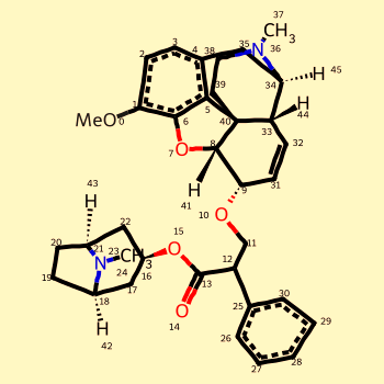 COc1ccc2c3c1O[C@H]1[C@@H](OCC(C(=O)O[C@H]4C[C@H]5CC[C@@H](C4)N5C)c4ccccc4)C=C[C@H]4[C@@H](C2)N(C)CC[C@@]341